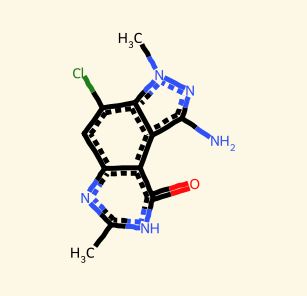 Cc1nc2cc(Cl)c3c(c(N)nn3C)c2c(=O)[nH]1